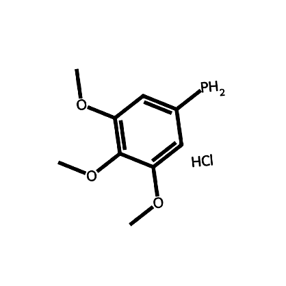 COc1cc(P)cc(OC)c1OC.Cl